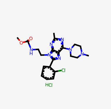 COC(=O)NCCn1c(-c2ccccc2Cl)nc2c(N3CCN(C)CC3)nc(C)nc21.Cl